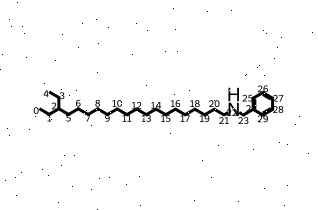 CCC(CC)CCCCCCCCCCCCCCCCCNCc1ccccc1